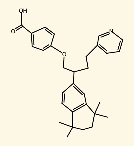 CC1(C)CCC(C)(C)c2cc(C(CCc3cccnc3)COc3ccc(C(=O)O)cc3)ccc21